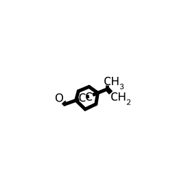 C=C(C)C12CCC(C=O)(CC1)CC2